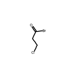 O=C(Br)CCCl